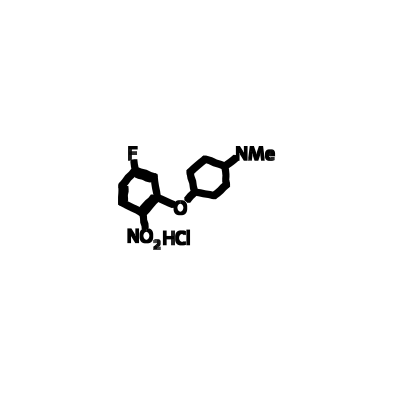 CNC1CCC(Oc2cc(F)ccc2[N+](=O)[O-])CC1.Cl